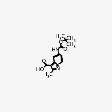 Cc1nn2ccc(NC(=O)OC(C)(C)C)cc2c1C(=O)O